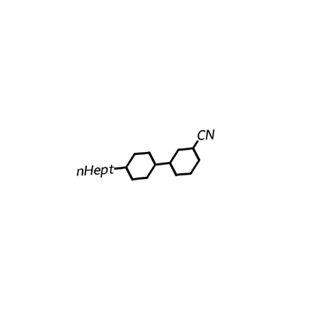 CCCCCCCC1CCC(C2CCCC(C#N)C2)CC1